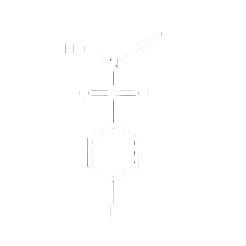 C#CN(C)S(=O)(=O)c1ccc(F)cc1